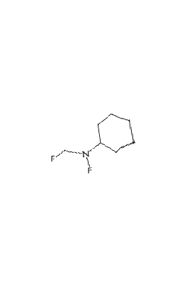 FCN(F)C1CCCCC1